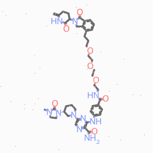 C=C1CCC(N2Cc3c(CCCOCCOCCOCCNC(=O)c4ccc(Nc5nc(N6CCC[C@@H](N7CCN(C)C7=O)C6)cnc5C(N)=O)cc4)cccc3C2=O)C(=O)N1